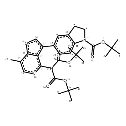 CC(C)(C)OC(=O)N1CCc2cc(-c3coc4c(I)cnc(N(C(=O)OC(C)(C)C)C(=O)OC(C)(C)C)c34)ccc21